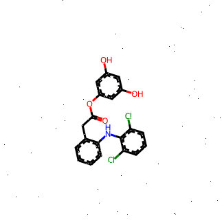 O=C(Cc1ccccc1Nc1c(Cl)cccc1Cl)Oc1cc(O)cc(O)c1